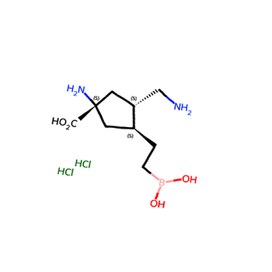 Cl.Cl.NC[C@H]1C[C@](N)(C(=O)O)C[C@@H]1CCB(O)O